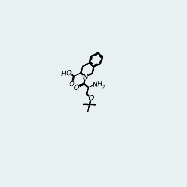 CC(C)(C)OC[C@H](N)C(=O)N1Cc2ccccc2C[C@@H]1C(=O)O